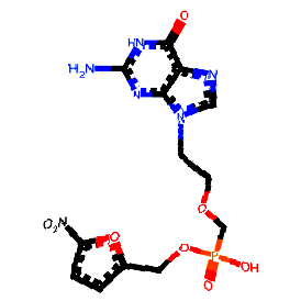 Nc1nc2c(ncn2CCOCP(=O)(O)OCc2ccc([N+](=O)[O-])o2)c(=O)[nH]1